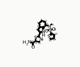 CN(c1cccc2cc(C3=NCC(C(N)=O)S3)[nH]c12)S(=O)(=O)c1cccs1